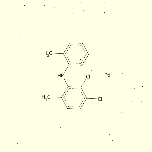 Cc1ccccc1Pc1c(C)ccc(Cl)c1Cl.[Pd]